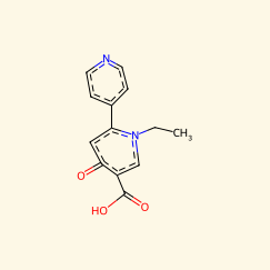 CCn1cc(C(=O)O)c(=O)cc1-c1ccncc1